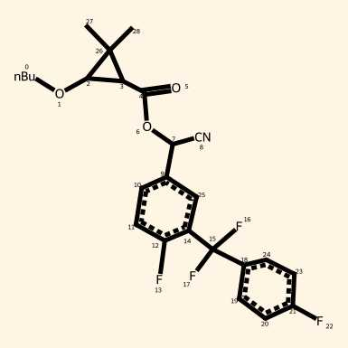 CCCCOC1C(C(=O)OC(C#N)c2ccc(F)c(C(F)(F)c3ccc(F)cc3)c2)C1(C)C